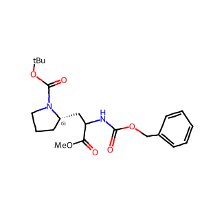 COC(=O)C(C[C@@H]1CCCN1C(=O)OC(C)(C)C)NC(=O)OCc1ccccc1